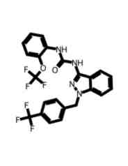 O=C(Nc1ccccc1OC(F)(F)F)Nc1nn(Cc2ccc(C(F)(F)F)cc2)c2ccccc12